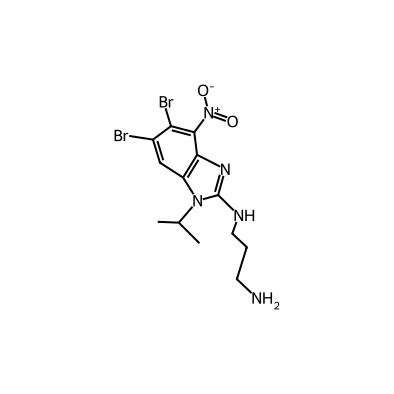 CC(C)n1c(NCCCN)nc2c([N+](=O)[O-])c(Br)c(Br)cc21